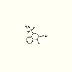 [N-]=[N+]=C1C=C(S(N)(=O)=O)c2ccccc2C1=O